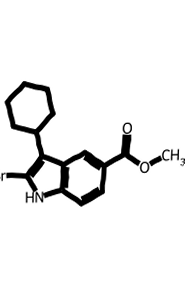 COC(=O)c1ccc2[nH]c(Br)c(C3CCCCC3)c2c1